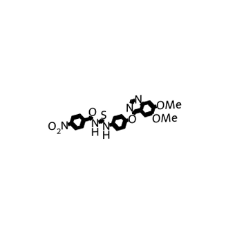 COc1cc2ncnc(Oc3ccc(NC(=S)NC(=O)c4ccc([N+](=O)[O-])cc4)cc3)c2cc1OC